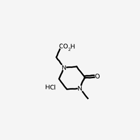 CN1CCN(CC(=O)O)CC1=O.Cl